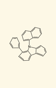 c1ccc(-c2cccc3c4ccccc4n(-c4cccc5ccccc45)c23)cc1